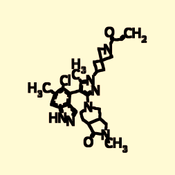 C=CC(=O)N1CC2(CC(n3nc(N4CCC5C(=O)N(C)CC5C4)c(-c4c(Cl)c(C)cc5[nH]ncc45)c3C)C2)C1